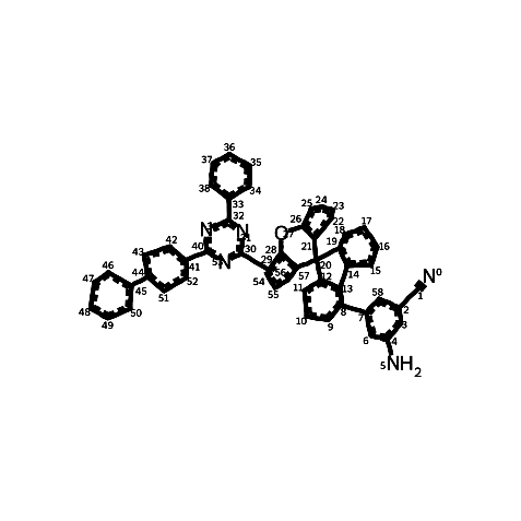 N#Cc1cc(N)cc(-c2cccc3c2-c2ccccc2C32c3ccccc3Oc3c(-c4nc(-c5ccccc5)nc(-c5ccc(-c6ccccc6)cc5)n4)cccc32)c1